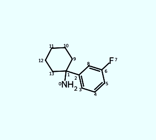 NC1(c2cccc(F)c2)CCCCC1